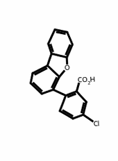 O=C(O)c1cc(Cl)ccc1-c1cccc2c1oc1ccccc12